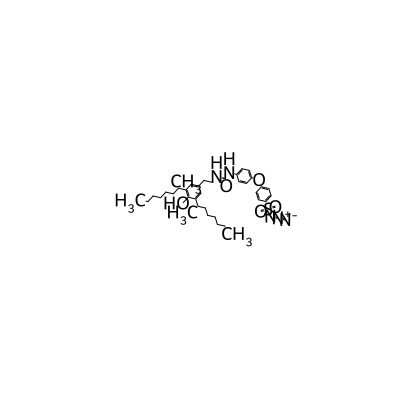 CCCCCCC(C)c1cc(CCNC(=O)Nc2ccc(Oc3ccc(S(=O)(=O)N=[N+]=[N-])cc3)cc2)cc(C(C)CCCCCC)c1O